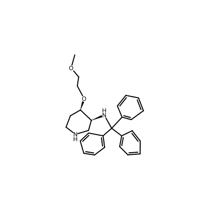 COCCO[C@@H]1CCNC[C@@H]1NC(c1ccccc1)(c1ccccc1)c1ccccc1